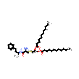 CCCCCCCCCCCC(=O)OC[C@H](CSC[C@H](N)C(=O)NC(C)CCc1ccccc1)OC(=O)CCCCCCCCCCC